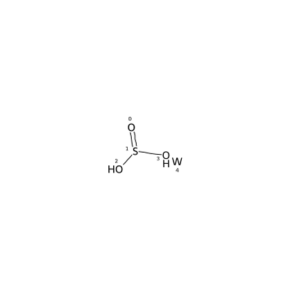 O=S(O)O.[W]